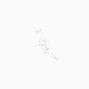 CC(C)CN(C[C@@H](O)[C@H](Cc1ccccc1)NC(=O)[C@H](C(C)C)N1CCN(Cc2cccc([N+](=O)[O-])c2)C1=O)S(=O)(=O)c1ccc(C=NO)cc1